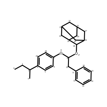 CCC(C)c1ccc(OC(Cc2ccccc2)OC2C3CC4CC(C3)CC2C4)cc1